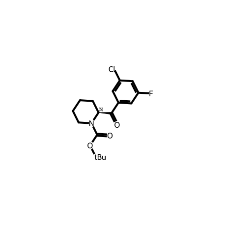 CC(C)(C)OC(=O)N1CCCC[C@H]1C(=O)c1cc(F)cc(Cl)c1